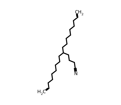 C=CCCCCCCCC(CCCC#N)CCCCCCCC=C